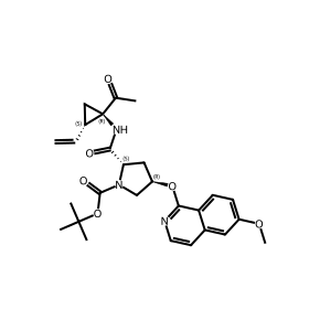 C=C[C@@H]1C[C@]1(NC(=O)[C@@H]1C[C@@H](Oc2nccc3cc(OC)ccc23)CN1C(=O)OC(C)(C)C)C(C)=O